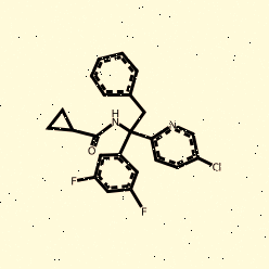 O=C(NC(Cc1ccccc1)(c1cc(F)cc(F)c1)c1ccc(Cl)cn1)C1CC1